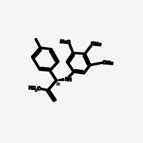 C=C(C(=O)O)[C@@H](Nc1cc(OC)c(OC)c(OC)c1)c1ccc(C)cc1